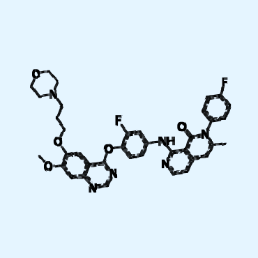 COc1cc2ncnc(Oc3ccc(Nc4nccc5cc(C)n(-c6ccc(F)cc6)c(=O)c45)cc3F)c2cc1OCCCN1CCOCC1